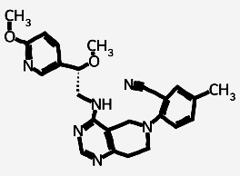 COc1ccc([C@@H](CNc2ncnc3c2CN(c2ccc(C)cc2C#N)CC3)OC)cn1